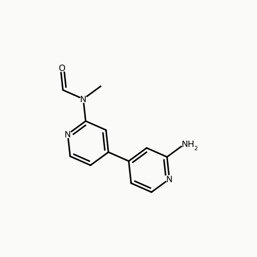 CN(C=O)c1cc(-c2ccnc(N)c2)ccn1